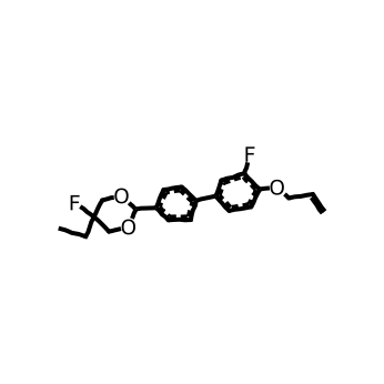 C=CCOc1ccc(-c2ccc(C3OCC(F)(CC)CO3)cc2)cc1F